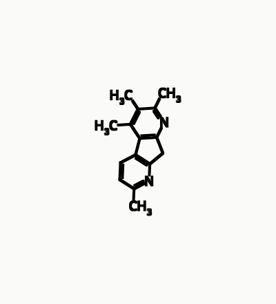 Cc1ccc2c(n1)Cc1nc(C)c(C)c(C)c1-2